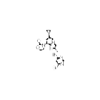 O=C1OCCN1c1cc(C2CC2)cn2cc(CNc3cc(Br)ncn3)nc12